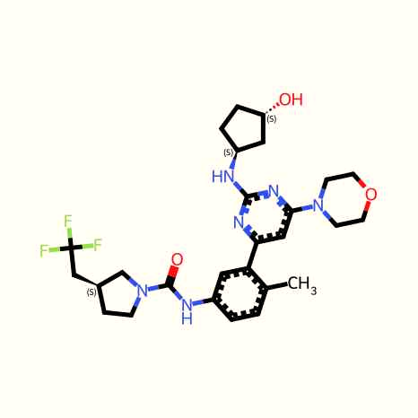 Cc1ccc(NC(=O)N2CC[C@@H](CC(F)(F)F)C2)cc1-c1cc(N2CCOCC2)nc(N[C@H]2CC[C@H](O)C2)n1